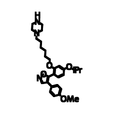 COc1ccc(-c2cnoc2-c2ccc(OC(C)C)cc2OCCCCCCN2CCNCC2)cc1